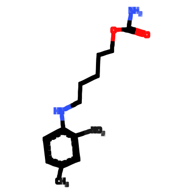 Cc1ccc(NCCCCCOC(N)=O)c([N+](=O)[O-])c1